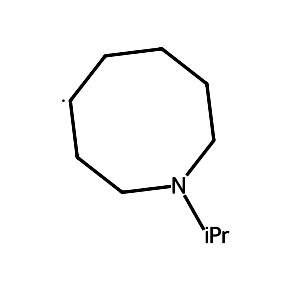 CC(C)N1CC[CH]CCCC1